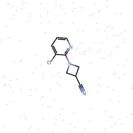 N#CC1CN(c2ncccc2Cl)C1